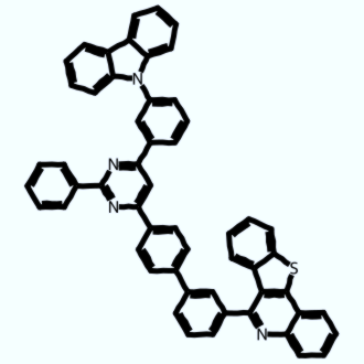 c1ccc(-c2nc(-c3ccc(-c4cccc(-c5nc6ccccc6c6sc7ccccc7c56)c4)cc3)cc(-c3cccc(-n4c5ccccc5c5ccccc54)c3)n2)cc1